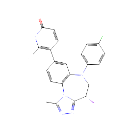 Cc1[nH]c(=O)ccc1-c1ccc2c(c1)N(c1ccc(Cl)cc1)C[C@@H](I)c1nnc(C)n1-2